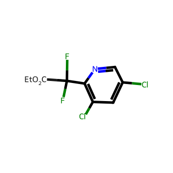 CCOC(=O)C(F)(F)c1ncc(Cl)cc1Cl